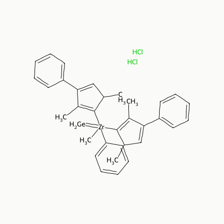 CC1=[C]([Zr]([CH3])(=[GeH2])([C]2=C(C)C(c3ccccc3)=CC2C)[c]2ccccc2)C(C)C=C1c1ccccc1.Cl.Cl